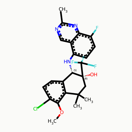 COc1c(Cl)ccc2c1C(C)(C)C[C@](O)(C(F)(F)F)[C@H]2Nc1ccc(F)c2nc(C)ncc12